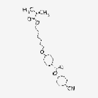 C=C(C)C(=O)OCCCCCCO[C@H]1CC[C@H](C(=O)O[C@H]2CC[C@H](C#N)CC2)CC1